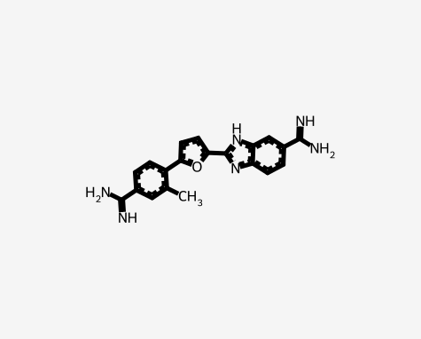 Cc1cc(C(=N)N)ccc1-c1ccc(-c2nc3ccc(C(=N)N)cc3[nH]2)o1